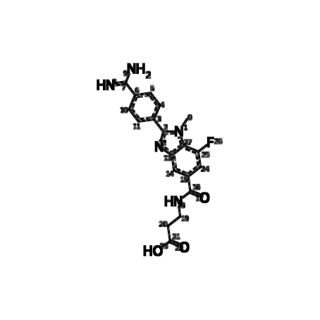 Cn1c(-c2ccc(C(=N)N)cc2)nc2cc(C(=O)NCCC(=O)O)cc(F)c21